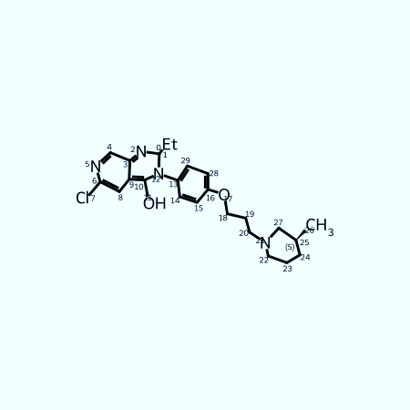 CCC1N=c2cnc(Cl)cc2=C(O)N1c1ccc(OCCCN2CCC[C@H](C)C2)cc1